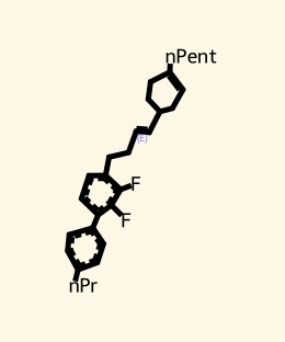 CCCCCC1=CCC(/C=C/CCc2ccc(-c3ccc(CCC)cc3)c(F)c2F)CC1